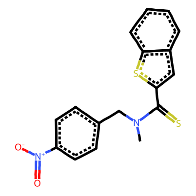 CN(Cc1ccc([N+](=O)[O-])cc1)C(=S)c1cc2ccccc2s1